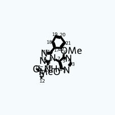 COc1ncnc(OC)c1-n1c(N[S+](C)[O-])nnc1-c1ccccc1